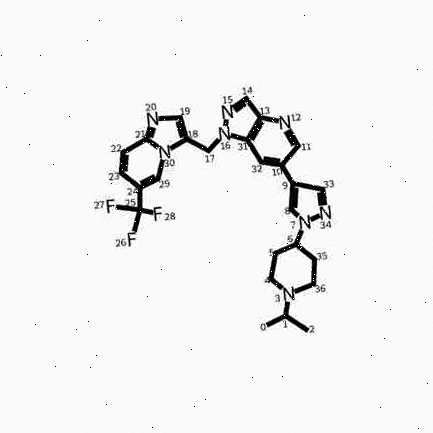 CC(C)N1CCC(n2cc(-c3cnc4cnn(Cc5cnc6ccc(C(F)(F)F)cn56)c4c3)cn2)CC1